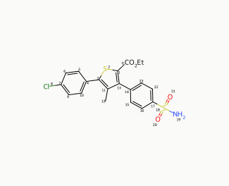 CCOC(=O)c1sc(-c2ccc(Cl)cc2)c(C)c1-c1ccc(S(N)(=O)=O)cc1